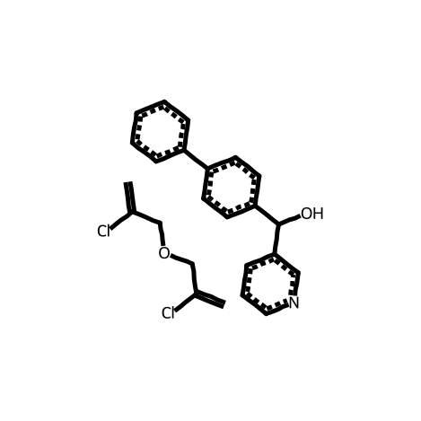 C=C(Cl)COCC(=C)Cl.OC(c1ccc(-c2ccccc2)cc1)c1cccnc1